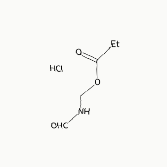 CCC(=O)OCNC=O.Cl